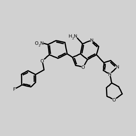 Nc1ncc(-c2cnn(C3CCOCC3)c2)c2occ(-c3ccc([N+](=O)[O-])c(OCc4ccc(F)cc4)c3)c12